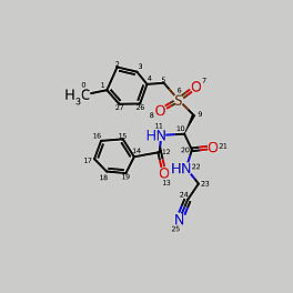 Cc1ccc(CS(=O)(=O)C[C@H](NC(=O)c2ccccc2)C(=O)NCC#N)cc1